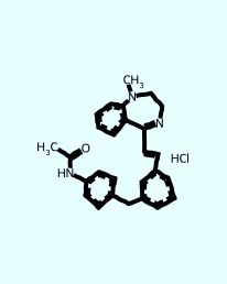 CC(=O)Nc1ccc(Cc2cccc(/C=C/C3=NCCN(C)c4ccccc43)c2)cc1.Cl